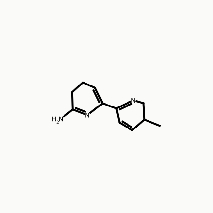 CC1C=CC(C2=CCCC(N)=N2)=NC1